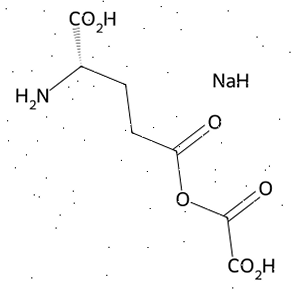 N[C@@H](CCC(=O)OC(=O)C(=O)O)C(=O)O.[NaH]